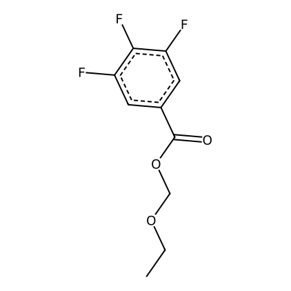 CCOCOC(=O)c1cc(F)c(F)c(F)c1